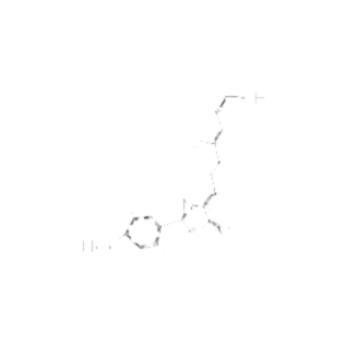 C/C=C\C=C(/C)CC/C=C1\N=C(c2ccc(CCCCCC)cc2)OC1=O